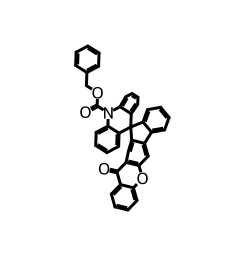 O=C(OCc1ccccc1)N1c2ccccc2C2(c3ccccc3-c3cc4oc5ccccc5c(=O)c4cc32)c2ccccc21